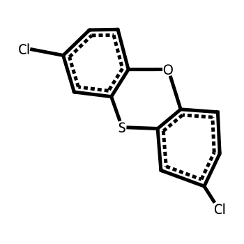 Clc1ccc2c(c1)Sc1cc(Cl)ccc1O2